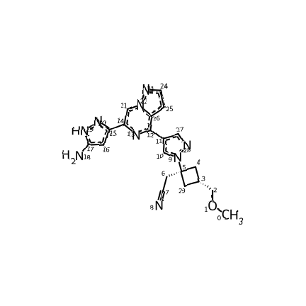 COC[C@H]1C[C@](CC#N)(n2cc(-c3nc(-c4cc(N)[nH]n4)cn4nccc34)cn2)C1